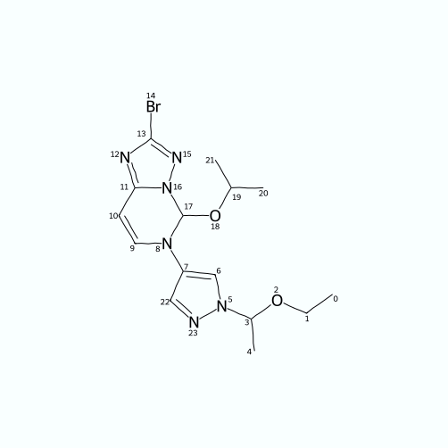 CCOC(C)n1cc(N2C=Cc3nc(Br)nn3C2OC(C)C)cn1